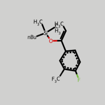 CC=C(O[Si](C)(C)CCCC)c1ccc(F)c(C(F)(F)F)c1